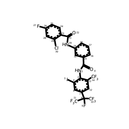 O=C(Nc1c(I)cc(C(F)(C(F)(F)F)C(F)(F)F)cc1C(F)(F)F)c1cccc(NC(=O)c2ccc(F)cc2Cl)c1